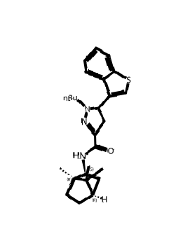 CCCCN1N=C(C(=O)N[C@H]2C[C@H]3CC[C@]2(C)C3(C)C)CC1c1csc2ccccc12